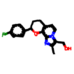 Cc1nc2c3c(ccn2c1CO)CCC(c1ccc(F)cc1)O3